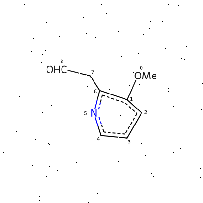 COc1cccnc1CC=O